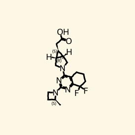 C[C@H]1CCN1c1nc(N2C[C@@H]3[C@@H](CC(=O)O)[C@@H]3C2)c2c(n1)C(F)(F)CCC2